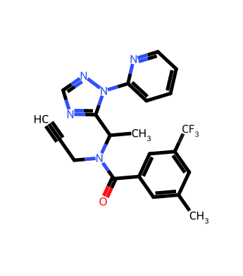 C#CCN(C(=O)c1cc(C)cc(C(F)(F)F)c1)C(C)c1ncnn1-c1ccccn1